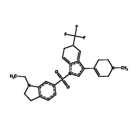 CCN1CCc2ccc(S(=O)(=O)n3cc(C4=CCN(C)CC4)c4c3=CCC(C(F)(F)F)C=4)cc21